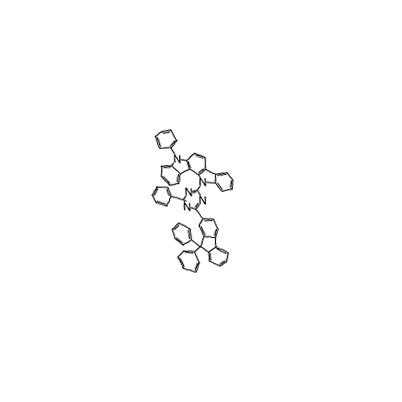 c1ccc(-c2nc(-c3ccc4c(c3)C(c3ccccc3)(c3ccccc3)c3ccccc3-4)nc(-n3c4ccccc4c4ccc5c(c6ccccc6n5-c5ccccc5)c43)n2)cc1